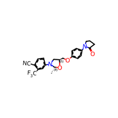 C[C@H]1O[C@H](COc2ccc(N3CCCC3=O)cc2)CN1c1ccc(C#N)c(C(F)(F)F)c1